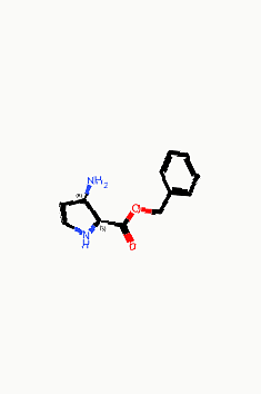 N[C@@H]1CCN[C@@H]1C(=O)OCc1ccccc1